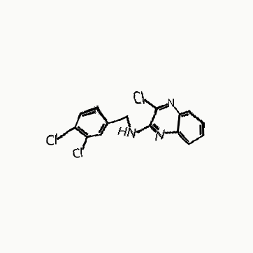 Clc1ccc(CNc2nc3ccccc3nc2Cl)cc1Cl